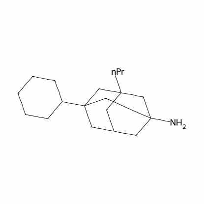 CCCC12CC3CC(N)(C1)CC(C1CCCCC1)(C3)C2